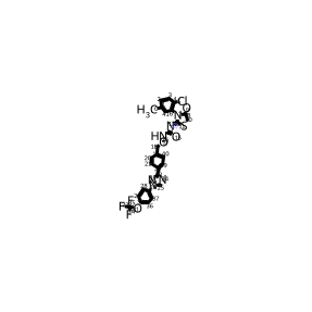 Cc1ccc(Cl)c(N2C(=O)CS/C2=N\C(=O)NOCc2ccc(-c3ncn(-c4ccc(OC(F)(F)F)cc4)n3)cc2)c1